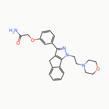 NC(=O)COc1cccc(-c2nn(CCN3CCOCC3)c3c2Cc2ccccc2-3)c1